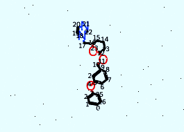 c1ccc(Oc2cccc(COC3CCCC(Cn4ccnc4)O3)c2)cc1